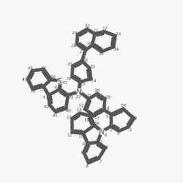 c1ccc(-n2c3ccccc3c3ccccc32)c(-c2ccc(N(c3ccc(-c4cccc5ccccc45)cc3)c3cccc4c3sc3ccccc34)cc2)c1